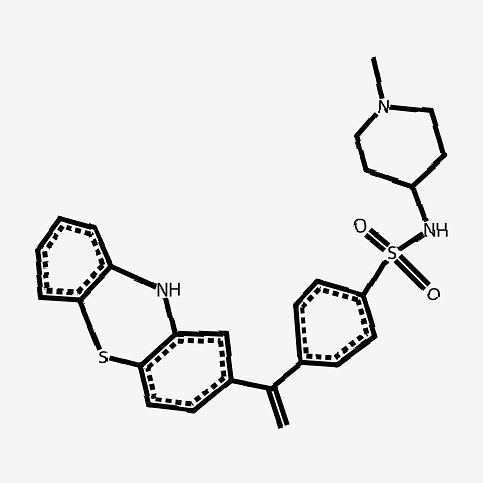 C=C(c1ccc(S(=O)(=O)NC2CCN(C)CC2)cc1)c1ccc2c(c1)Nc1ccccc1S2